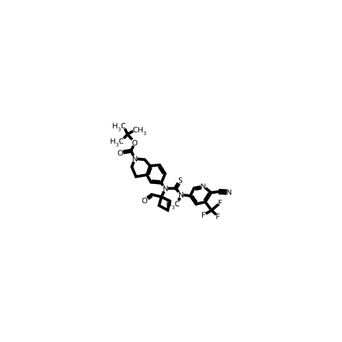 CN(C(=S)N(c1ccc2c(c1)CCN(C(=O)OC(C)(C)C)C2)C1(C=O)CCC1)c1cnc(C#N)c(C(F)(F)F)c1